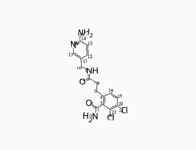 NC(=O)c1c(C[CH]C(=O)NCc2ccc(N)nc2)ccc(Cl)c1Cl